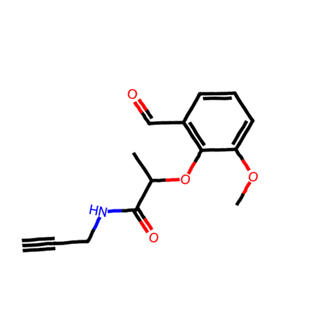 C#CCNC(=O)C(C)Oc1c(C=O)cccc1OC